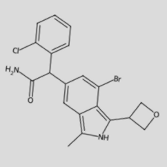 Cc1[nH]c(C2COC2)c2c(Br)cc(C(C(N)=O)c3ccccc3Cl)cc12